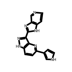 c1cc2[nH]c(-c3n[nH]c4ccc(-c5cc[nH]c5)nc34)nc2cn1